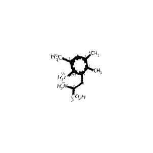 Cc1cc(C)c(C)c(CC(N)C(=O)O)c1C